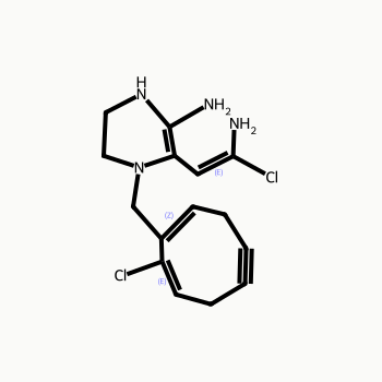 NC1=C(/C=C(\N)Cl)N(CC2=C/CC#CC/C=C\2Cl)CCN1